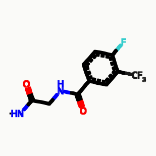 [NH]C(=O)CNC(=O)c1ccc(F)c(C(F)(F)F)c1